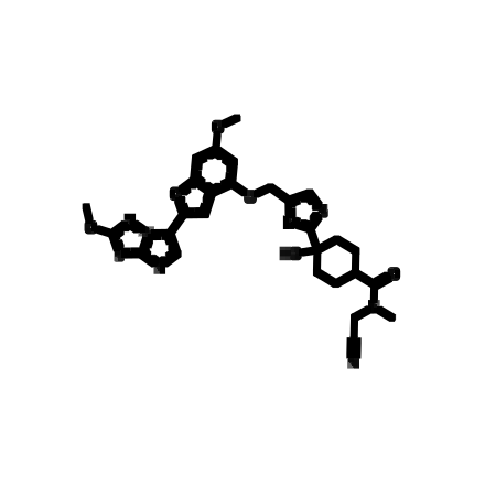 COc1cc(OCc2csc(C3(O)CCC(C(=O)N(C)CC#N)CC3)n2)c2cc(-c3cnc4sc(OC)nn34)oc2c1